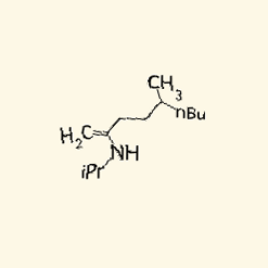 C=C(CCC(C)CCCC)NC(C)C